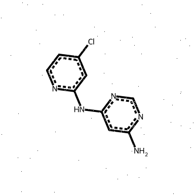 Nc1cc(Nc2cc(Cl)ccn2)ncn1